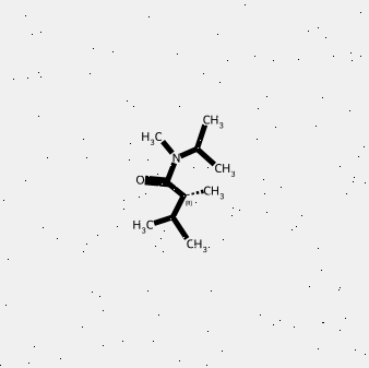 CC(C)[C@@H](C)C(=O)N(C)C(C)C